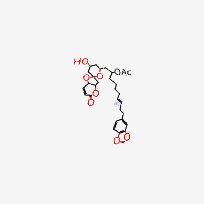 CC(=O)OC(CCCC/C=C/CCc1ccc2c(c1)OCO2)CC1CC(O)CC2(CC3OC(=O)C=CC3O2)O1